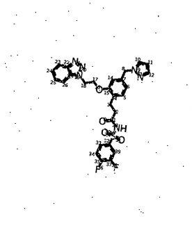 O=C(CCc1ccc(Cn2cccn2)cc1OCCn1nnc2ccccc21)NS(=O)(=O)c1ccc(F)c(F)c1